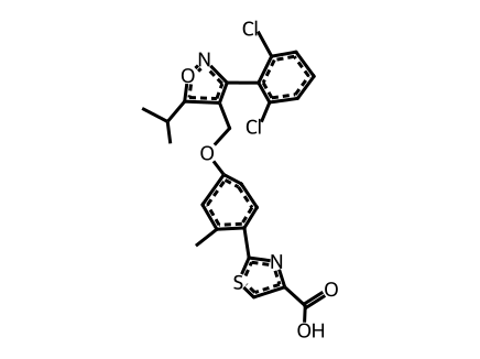 Cc1cc(OCc2c(-c3c(Cl)cccc3Cl)noc2C(C)C)ccc1-c1nc(C(=O)O)cs1